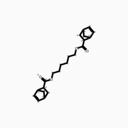 O=C(OCCCCCCOC(=O)C1CC2C=CC1C2)C1CC2C=CC1C2